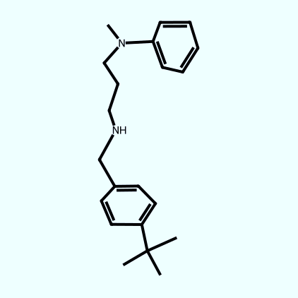 CN(CCCNCc1ccc(C(C)(C)C)cc1)c1ccccc1